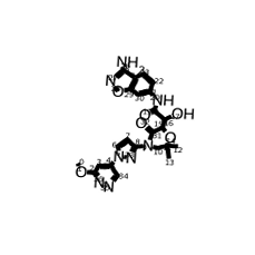 COc1cc(-n2ccc(N3CC(C)(C)OC(C(O)C(=O)Nc4ccc5c(N)noc5c4)C3=O)n2)cnn1